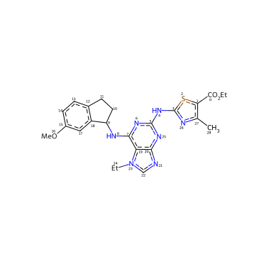 CCOC(=O)c1sc(Nc2nc(NC3CCc4ccc(OC)cc43)c3c(ncn3CC)n2)nc1C